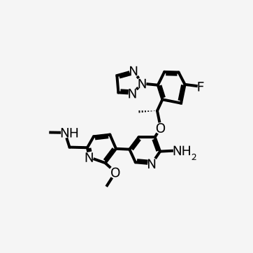 CNCc1ccc(-c2cnc(N)c(O[C@H](C)c3cc(F)ccc3-n3nccn3)c2)c(OC)n1